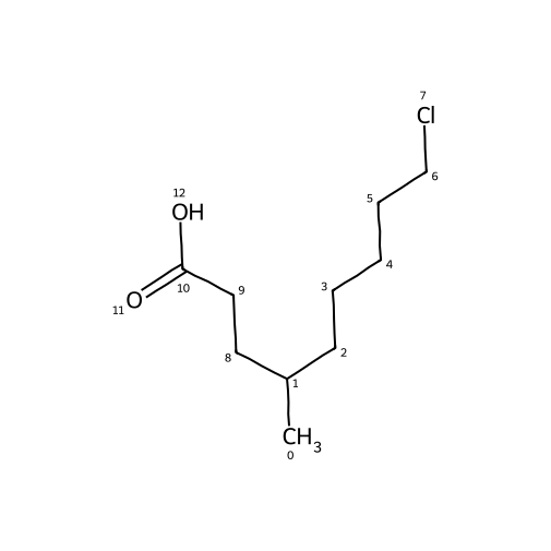 CC(CCCCCCl)CCC(=O)O